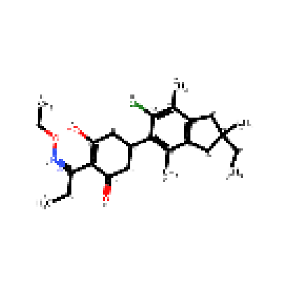 CCO/N=C(/CC)C1=C(O)CC(c2c(C)c3c(c(C)c2Cl)CC(C)(CC)C3)CC1=O